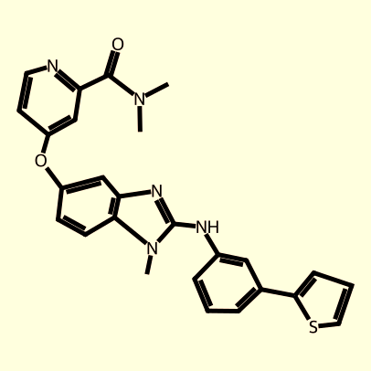 CN(C)C(=O)c1cc(Oc2ccc3c(c2)nc(Nc2cccc(-c4cccs4)c2)n3C)ccn1